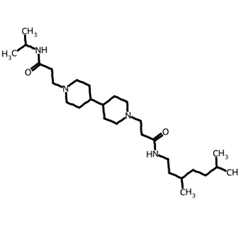 CC(C)CCC(C)CCNC(=O)CCN1CCC(C2CCN(CCC(=O)NC(C)C)CC2)CC1